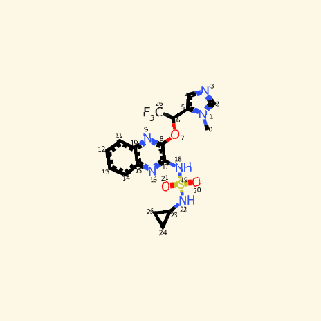 Cn1cncc1C(Oc1nc2ccccc2nc1NS(=O)(=O)NC1CC1)C(F)(F)F